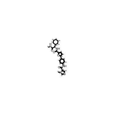 CNC(=O)[C@@H](NC(=O)c1ccc(-c2ccc(NC(=O)c3cncn3C)cc2)o1)C1CCCCC1